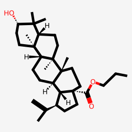 C=C(C)[C@@H]1CC[C@]2(C(=O)OCCC)CC[C@]3(C)[C@H](CC[C@@H]4[C@@]5(C)CC[C@H](O)C(C)(C)[C@@H]5CC[C@]43C)[C@@H]12